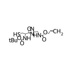 C=CCOC(=O)NCc1noc(C(CS)NC(=O)OC(C)(C)C)n1